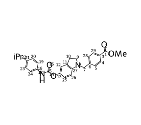 COC(=O)c1ccc(CN2CCc3cc(OC(=O)Nc4ccc(C(C)C)cc4)ccc32)cc1